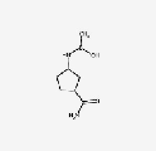 CB(O)NC1CCC(C(N)=O)C1